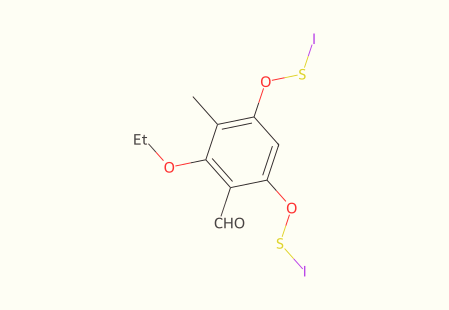 CCOc1c(C)c(OSI)cc(OSI)c1C=O